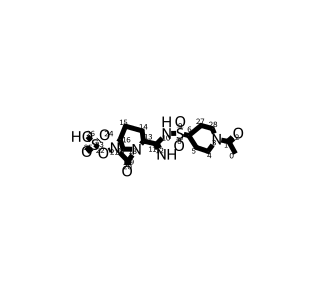 CC(=O)N1CCC(S(=O)(=O)NC(=N)C2CCC3CN2C(=O)N3OS(=O)(=O)O)CC1